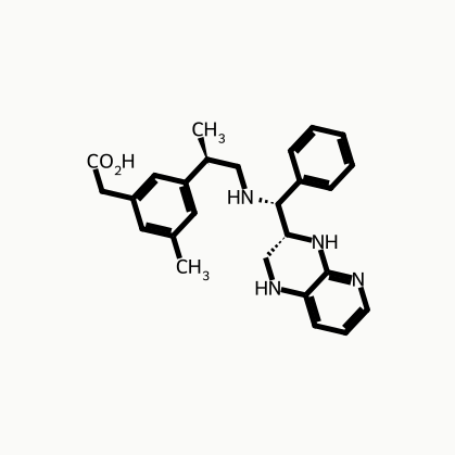 Cc1cc(CC(=O)O)cc([C@@H](C)CN[C@H](c2ccccc2)[C@H]2CNc3cccnc3N2)c1